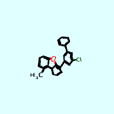 Cc1cccc2oc3c(-c4cc(Cl)cc(-c5ccccc5)c4)cccc3c12